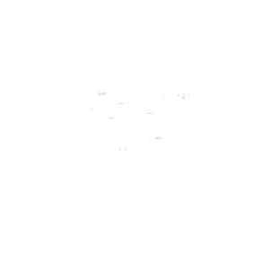 Cl.NC(=O)c1ccccc1Cc1ccccc1